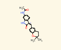 CC(=O)Nc1ccc2c(c1)NC(=O)/C2=C\c1ccc2c(c1)CCC(C)(C)O2